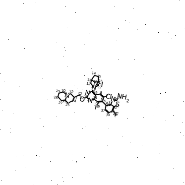 Nc1nc2c(-c3c(Cl)cc4c(N5CC6CCC(C5)N6)nc(OCC5CCC6CCCCN6C5)nc4c3F)ccc(F)c2s1